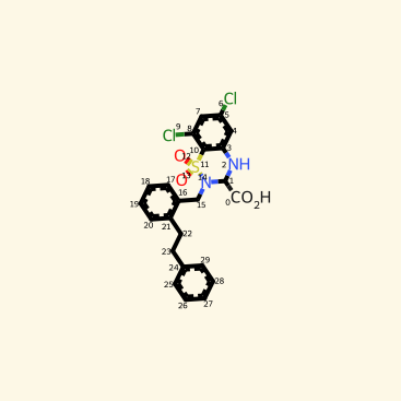 O=C(O)C1Nc2cc(Cl)cc(Cl)c2S(=O)(=O)N1Cc1ccccc1CCc1ccccc1